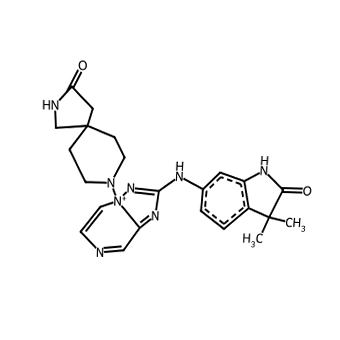 CC1(C)C(=O)Nc2cc(NC3=N[N+]4(N5CCC6(CC5)CNC(=O)C6)C=CN=CC4=N3)ccc21